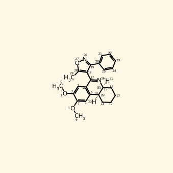 COc1cc2c(cc1OC)[C@@H]1CCCC[C@@H]1N=C2c1c(-c2ccccc2)noc1C